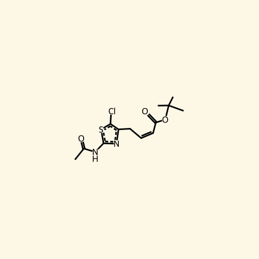 CC(=O)Nc1nc(C/C=C\C(=O)OC(C)(C)C)c(Cl)s1